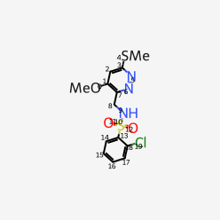 COc1cc(SC)nnc1CNS(=O)(=O)c1ccccc1Cl